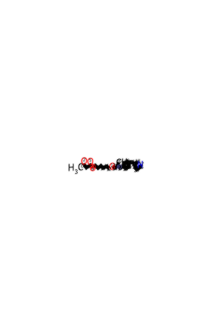 CC(=O)CC(=O)OCCCCCCOC/C(C)=C/c1ccc(Cc2cccnc2)cc1